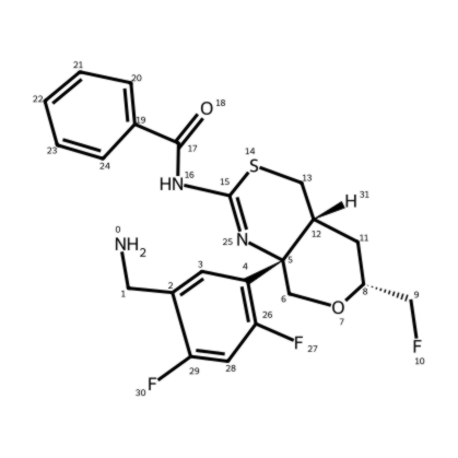 NCc1cc([C@]23CO[C@@H](CF)C[C@H]2CSC(NC(=O)c2ccccc2)=N3)c(F)cc1F